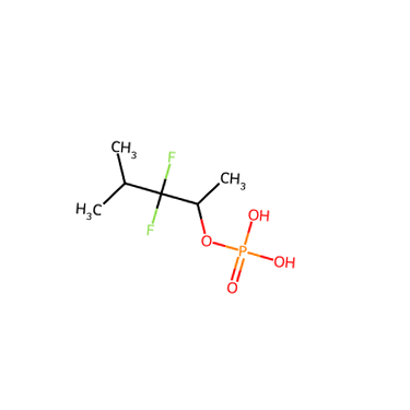 CC(C)C(F)(F)C(C)OP(=O)(O)O